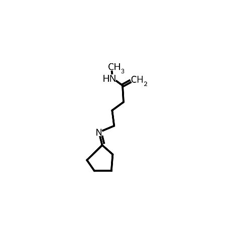 C=C(CCCN=C1CCCC1)NC